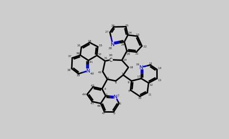 c1cnc2c(C3CC(c4cccc5cccnc45)CC(c4cccc5cccnc45)CC(c4cccc5cccnc45)C3)cccc2c1